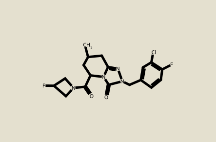 CC1Cc2nn(Cc3ccc(F)c(Cl)c3)c(=O)n2C(C(=O)N2CC(F)C2)C1